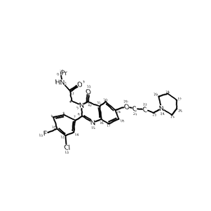 CC(C)NC(=O)Cn1c(-c2ccc(F)c(Cl)c2)nc2ccc(OCCCN3CCCCC3)cc2c1=O